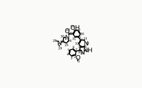 COc1ccccc1-c1n[nH]c2ncc(-c3ccc(O)c(C(=O)N4CCC(N(C)C)C4)c3)cc12